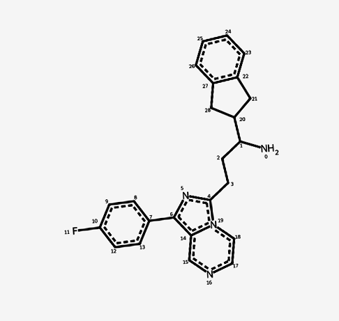 NC(CCc1nc(-c2ccc(F)cc2)c2cnccn12)C1Cc2ccccc2C1